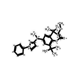 COCC(=O)Oc1c(C(C)(C)C)cc(N(C)c2ccn(-c3ccccc3)n2)cc1C(C)(C)C